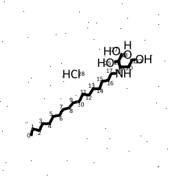 CCCCCCCCCCCCCCCCCCNC(CC(O)O)C(O)CO.Cl